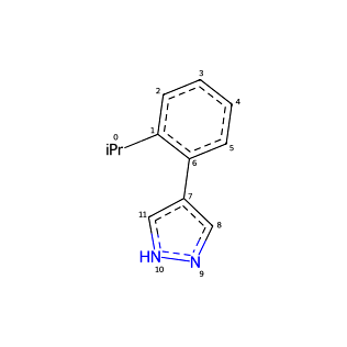 CC(C)c1ccccc1-c1cn[nH]c1